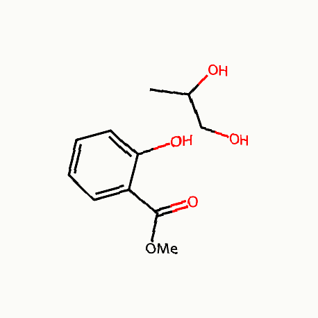 CC(O)CO.COC(=O)c1ccccc1O